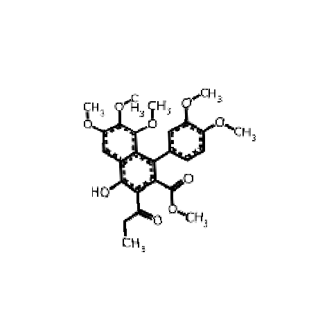 CCC(=O)c1c(C(=O)OC)c(-c2ccc(OC)c(OC)c2)c2c(OC)c(OC)c(OC)cc2c1O